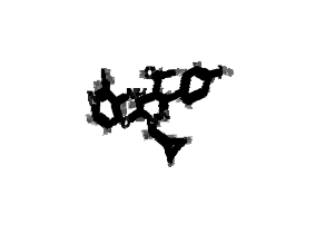 CC(=O)c1c(-c2ccc(F)cc2)nn(CC2CC2)c(=O)c1Nc1cccnc1F